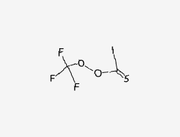 FC(F)(F)OOC(=S)I